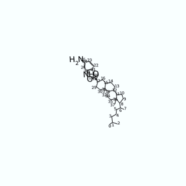 CC(C)CCCC(C)C1CCC2C3CCC4CC(C(=O)Oc5ccc(N)cc5N)CCC4(C)C3CCC12C